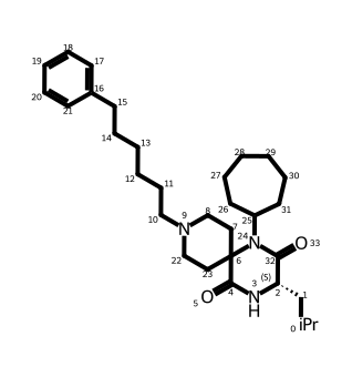 CC(C)C[C@@H]1NC(=O)C2(CCN(CCCCCCc3ccccc3)CC2)N(C2CCCCCC2)C1=O